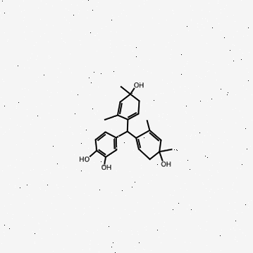 CC1=CC(C)(O)CC=C1C(C1=CCC(C)(O)C=C1C)c1ccc(O)c(O)c1